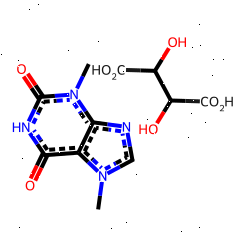 Cn1cnc2c1c(=O)[nH]c(=O)n2C.O=C(O)C(O)C(O)C(=O)O